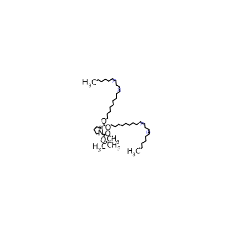 CCCCC/C=C\C/C=C\CCCCCCCCOC(OCCCCCCCC/C=C\C/C=C\CCCCC)[C@H]1CCCN1C(=O)OC(C)(C)C